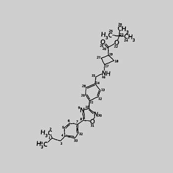 CC(C)Cc1ccc(-c2nc(-c3ccc(CNC4CC(C(=O)OC(C)(C)C)C4)cc3)no2)cc1